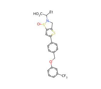 CCC(C(=O)O)N1Cc2sc(-c3ccc(COc4cccc(C(F)(F)F)c4)cc3)cc2[S+]1[O-]